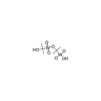 C[C](C)([O][W](=[O])(=[O])[C](C)(C)O)[W](=[O])(=[O])[OH]